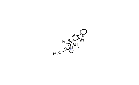 BC(B)(O/N=C(/C)OCC)c1ccc(C2CCCCC2)c(C(F)(F)F)c1